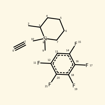 C#C.CC1CCCC[Si]1(C)C.Fc1cc(F)c(F)c(F)c1F